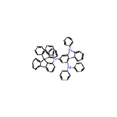 c1ccc(N(c2cc(N(c3ccccc3)c3ccccc3)c3c4ccccc4n(-c4ccccc4)c3c2)c2cccc3c2C(c2ccccc2)(c2ccccc2)c2ccccc2-3)cc1